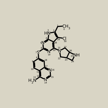 CCc1[nH]c2nc(Sc3ccc4c(N)ncnc4c3)nc(N3CC4CNC4C3)c2c1Cl